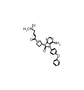 CCN(C)C/C=C/C(=O)N1CCC(n2c(=O)n(-c3ccc(Oc4ccccc4)cc3)c3c(N)ncnc32)C1